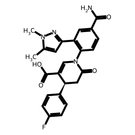 Cc1cc(-c2cc(C(N)=O)ccc2N2C=C(C(=O)O)[C@H](c3ccc(F)cc3)CC2=O)nn1C